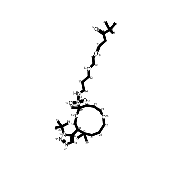 CC(C)(C)C(=O)CCOCCOCCCNS(=O)(=O)C1(C)CCCCCCCC(C)(C)C(c2cnnn2C(C)(C)C)CC1